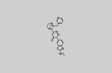 Nc1nc2ccc(C3N=NC(C4C5CCN(CC5)C4Cc4cccnc4)=CC3=O)cc2s1